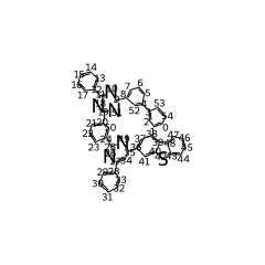 c1ccc(-c2cccc(-c3nc(-c4ccccc4)nc(-c4cccc(-c5nc(-c6ccccc6)cc(-c6ccc7c(c6)sc6ccccc67)n5)c4)n3)c2)cc1